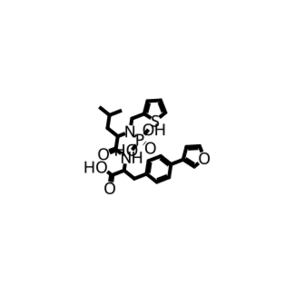 CC(C)CC(C(=O)NC(Cc1ccc(-c2ccoc2)cc1)C(=O)O)N(Cc1cccs1)P(=O)(O)O